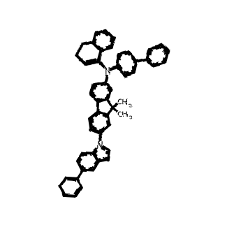 CC1(C)c2cc(N(C3=CCCc4ccccc43)c3ccc(-c4ccccc4)cc3)ccc2-c2ccc(-n3ccc4cc(C5=CCCC=C5)ccc43)cc21